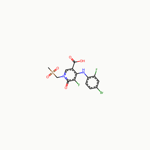 CS(=O)(=O)Cn1cc(C(=O)O)c(Nc2ccc(Br)cc2F)c(F)c1=O